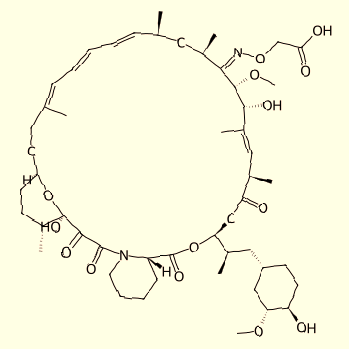 CO[C@@H]1C[C@H](C[C@@H](C)[C@@H]2CC(=O)[C@H](C)/C=C(\C)[C@@H](O)[C@@H](OC)/C(=N\OCC(=O)O)[C@H](C)C[C@H](C)/C=C/C=C/C=C(\C)CC[C@@H]3CC[C@@H](C)[C@@](O)(O3)C(=O)C(=O)N3CCCC[C@H]3C(=O)O2)CC[C@H]1O